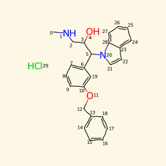 CNCC(O)C(c1cccc(OCc2ccccc2)c1)n1ccc2ccccc21.Cl